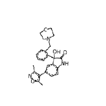 Cc1noc(C)c1-c1ccc2c(c1)C(O)(c1ccccc1CN1CCCCC1)C(=O)N2